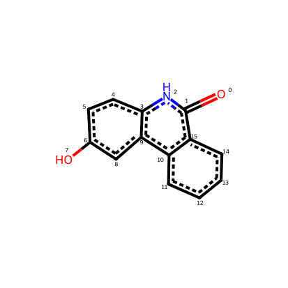 O=c1[nH]c2ccc(O)cc2c2ccccc12